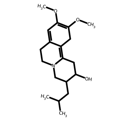 COC1=C(OC)CC2=C3CC(O)C(CC(C)C)CN3CCC2=C1